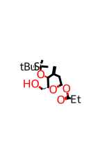 C=C1C[C@H](OC(=O)CC)O[C@H](CO)[C@H]1O[Si](C)(C)C(C)(C)C